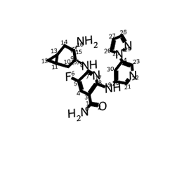 NC(=O)c1cc(F)c(N[C@H]2CC3CC3C[C@@H]2N)nc1Nc1cncc(-n2cccn2)c1